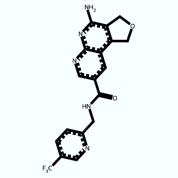 Nc1nc2ncc(C(=O)NCc3ccc(C(F)(F)F)cn3)cc2c2c1COC2